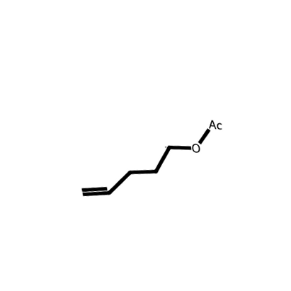 C=CCC[CH]OC(C)=O